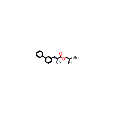 CCCCC(CC)COC(=O)/C(C#N)=C/c1cccc(-c2ccccc2)c1